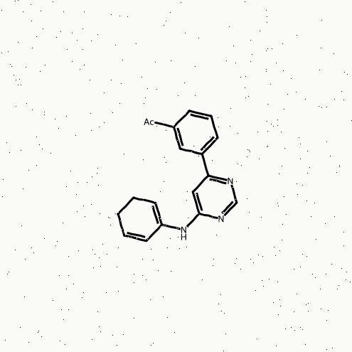 CC(=O)c1cccc(-c2cc(NC3=CC[CH]C=C3)ncn2)c1